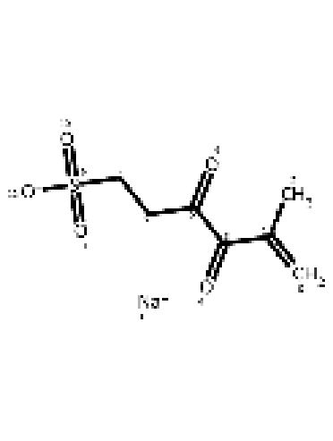 C=C(C)C(=O)C(=O)CCS(=O)(=O)[O-].[Na+]